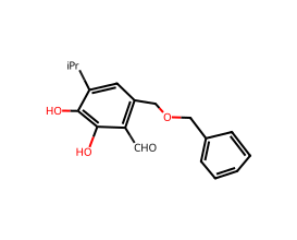 CC(C)c1cc(COCc2ccccc2)c(C=O)c(O)c1O